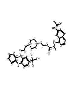 CC(=O)Nc1ccc2cccc(OC(C)C(=O)OCCN3CCN(CCCN4c5ccccc5Sc5ccc(C(F)(F)F)cc54)CC3)c2c1